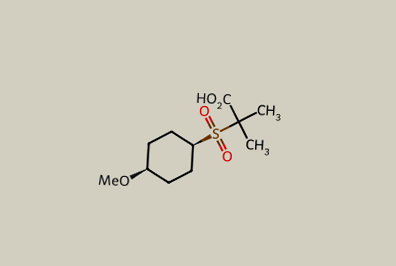 CO[C@H]1CC[C@@H](S(=O)(=O)C(C)(C)C(=O)O)CC1